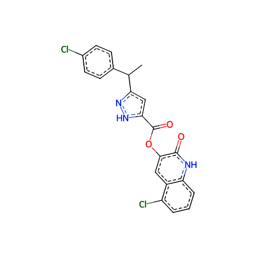 CC(c1ccc(Cl)cc1)c1cc(C(=O)Oc2cc3c(Cl)cccc3[nH]c2=O)[nH]n1